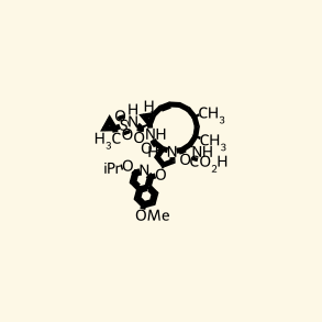 COc1ccc2c(O[C@@H]3C[C@H]4C(=O)N[C@]5(C(=O)NS(=O)(=O)C6(C)CC6)C[C@H]5/C=C\CC[C@@H](C)C[C@@H](C)[C@H](NC(=O)O)C(=O)N4C3)nc(OC(C)C)cc2c1